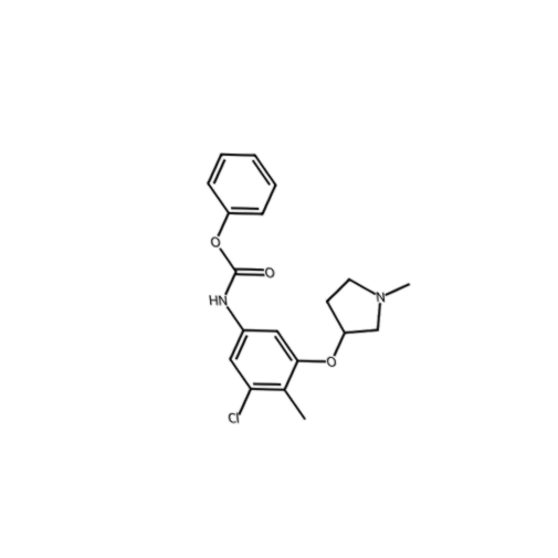 Cc1c(Cl)cc(NC(=O)Oc2ccccc2)cc1OC1CCN(C)C1